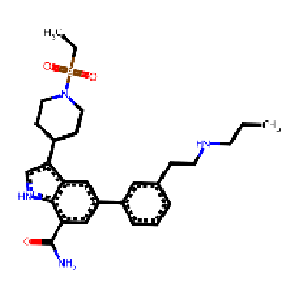 CCCNCCc1cccc(-c2cc(C(N)=O)c3[nH]cc(C4CCN(S(=O)(=O)CC)CC4)c3c2)c1